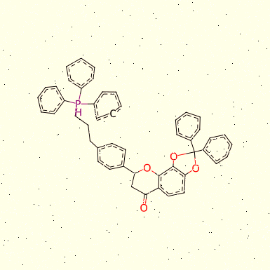 O=C1CC(c2ccc(CCC[PH](c3ccccc3)(c3ccccc3)c3ccccc3)cc2)Oc2c1ccc1c2OC(c2ccccc2)(c2ccccc2)O1